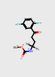 [2H]C([2H])(CCC(=O)c1cc(F)ccc1F)NC(=O)OC(C)(C)C